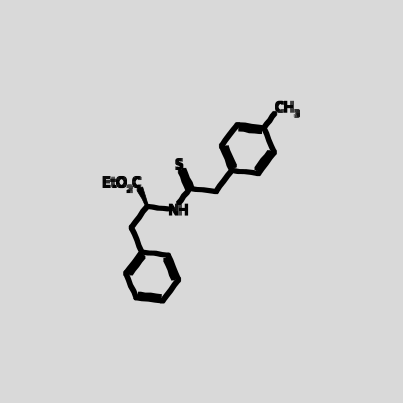 CCOC(=O)[C@H](Cc1ccccc1)NC(=S)Cc1ccc(C)cc1